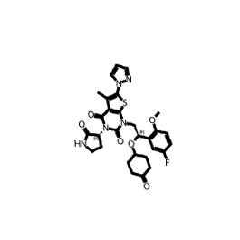 COc1ccc(F)cc1[C@H](Cn1c(=O)n([C@@H]2CCNC2=O)c(=O)c2c(C)c(-n3cccn3)sc21)OC1CCC(=O)CC1